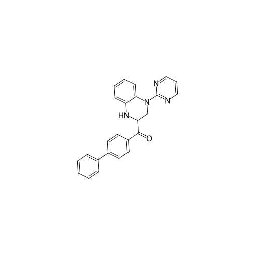 O=C(c1ccc(-c2ccccc2)cc1)C1CN(c2ncccn2)c2ccccc2N1